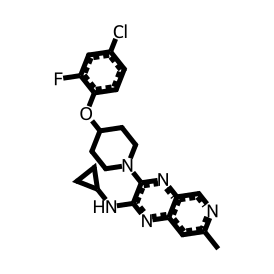 Cc1cc2nc(NC3CC3)c(N3CCC(Oc4ccc(Cl)cc4F)CC3)nc2cn1